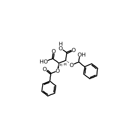 O=C(O[C@@H](C(=O)O)[C@@H](OC(O)c1ccccc1)C(=O)O)c1ccccc1